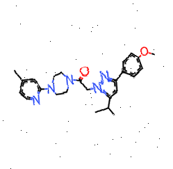 COc1ccc(-c2cc(C(C)C)n(CC(=O)N3CCN(c4cc(C)ccn4)CC3)n2)cc1